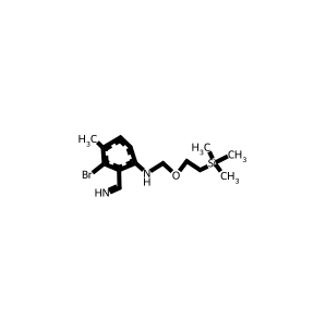 Cc1ccc(NCOCC[Si](C)(C)C)c(C=N)c1Br